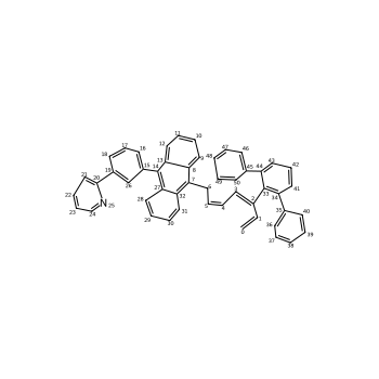 C=C/C(=C\C=C/Cc1c2ccccc2c(-c2cccc(-c3ccccn3)c2)c2ccccc12)c1c(-c2ccccc2)cccc1-c1ccccc1